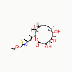 CCOCc1nc(C=C(C)[C@@H]2C[C@@H]3O[C@@H]3CCC[C@H](C)C(O)C(C)C(=O)C(C)(C)[C@@H](O)CC(=O)O2)cs1